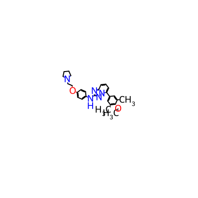 COc1c(C)cc(-c2cccc3nc(Nc4ccc(OCCN5CCCC5)cc4)nn23)cc1C